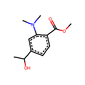 COC(=O)c1ccc(C(C)O)cc1N(C)C